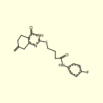 C=C1CCc2c(nc(SCCCC(=O)Nc3ccc(F)cc3)[nH]c2=O)C1